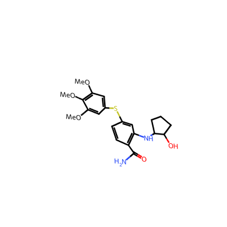 COc1cc(Sc2ccc(C(N)=O)c(NC3CCCC3O)c2)cc(OC)c1OC